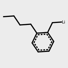 [Li][CH2]c1ccccc1CCCC